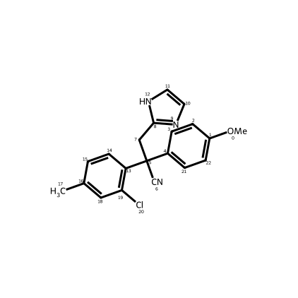 COc1ccc(C(C#N)(Cc2ncc[nH]2)c2ccc(C)cc2Cl)cc1